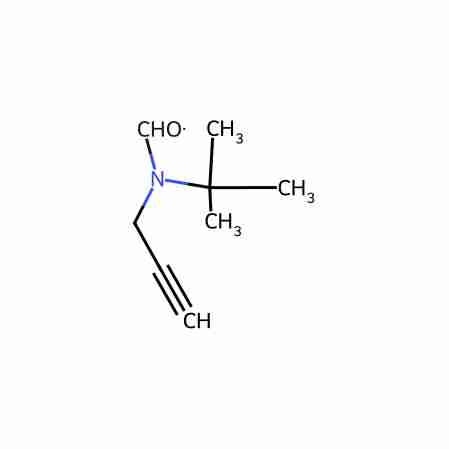 C#CCN([C]=O)C(C)(C)C